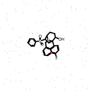 O=S(=O)(c1ccccc1)C1CC2(c3ccc(F)cc3)C(O)CCC1N2Cc1ccccc1